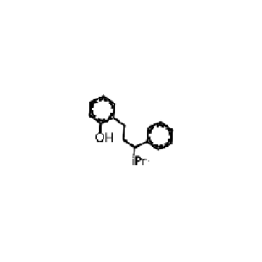 C[C](C)C(CCc1ccccc1O)c1ccccc1